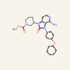 CC(C)(C)OC(=O)N1CCC[C@@H](n2c(=O)n(-c3ccc(Oc4ccccc4)cc3)c3c(N)nccc32)C1